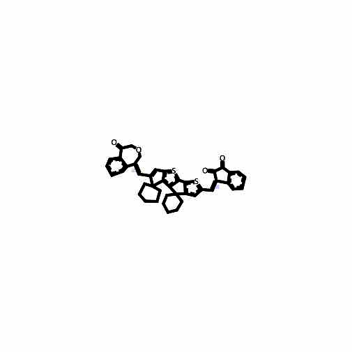 O=C1C(=O)c2ccccc2/C1=C/c1cc2c(s1)-c1sc3c(c1C21CCCCC1)C1(CCCCC1)C(/C=C1\COCC(=O)c2ccccc21)=C3